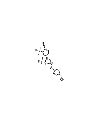 N#Cc1ccc(N2C[C@@H](COc3ccc(CO)cc3)O[C@@H]2C(F)(F)F)cc1C(F)(F)F